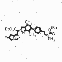 CCOC(=O)C(c1ncn2c1CC(F)C2)n1cc2c(C)cc(-c3ccc(CCN(C)C(=O)OC(C)(C)C)cc3)c(C)c2n1